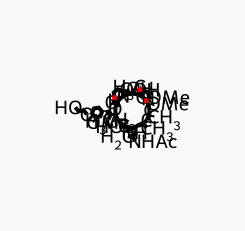 C=C(C[C@@H]1/C=C(\C)C[C@H](C)C[C@H](OC)[C@H]2O[C@@](O)(C(O)C(=O)N3CCCC[C@H]3C(=O)O[C@H](/C(C)=C/[C@@H]3CC[C@@H](OCCO)[C@H](OC)C3)[C@H](C)[C@@H](O)CC1=N)[C@H](C)C[C@@H]2OC)NC(C)=O